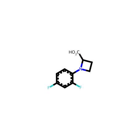 O=C(O)C1CCN1c1ccc(F)cc1F